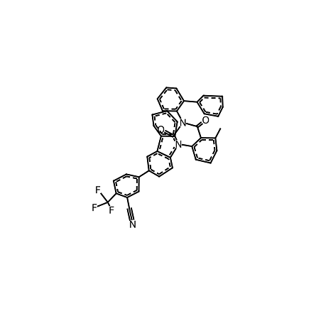 Cc1cccc(-n2c3ccccc3c3cc(-c4ccc(C(F)(F)F)c(C#N)c4)ccc32)c1C(=O)N(C=O)c1ccccc1-c1ccccc1